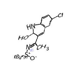 C/C(=N\[S@@+]([O-])C(C)(C)C)C1=Cc2cc(Cl)ccc2NC1O